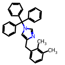 Cc1cccc(Cc2cn(C(c3ccccc3)(c3ccccc3)c3ccccc3)cn2)c1C